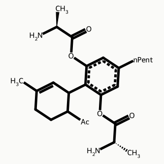 CCCCCc1cc(OC(=O)[C@H](C)N)c(C2C=C(C)CCC2C(C)=O)c(OC(=O)[C@H](C)N)c1